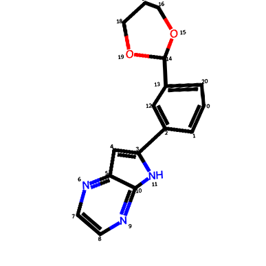 c1cc(-c2cc3nccnc3[nH]2)cc(C2OCCCO2)c1